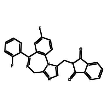 O=C1c2ccccc2C(=O)N1Cc1cnc2n1-c1ccc(F)cc1C(c1ccccc1F)=NC2